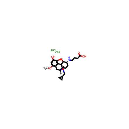 COc1cc(O)c2c3c1C[C@@H]1[C@@H]4CC[C@@H](NCCCC(=O)O)[C@H](O2)[C@]34CCN1CC1CC1.Cl.Cl